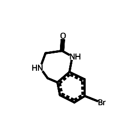 O=C1CNCc2ccc(Br)cc2N1